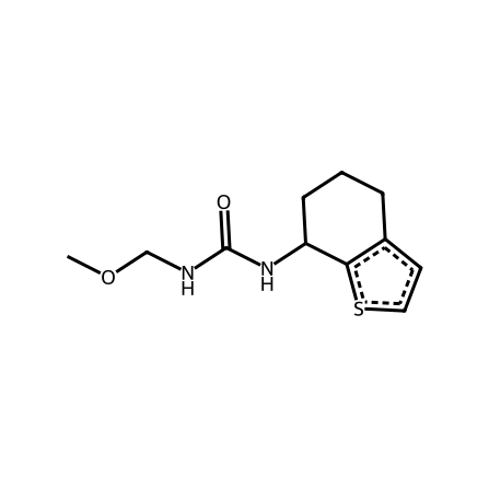 COCNC(=O)NC1CCCc2ccsc21